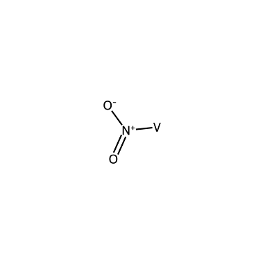 O=[N+]([O-])[V]